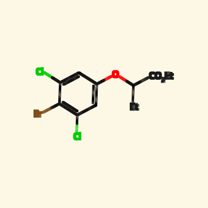 CCOC(=O)C(CC)Oc1cc(Cl)c(Br)c(Cl)c1